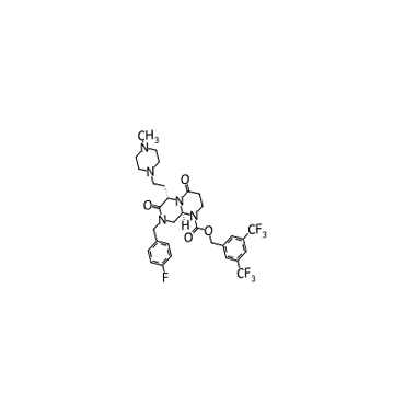 CN1CCN(CC[C@H]2C(=O)N(Cc3ccc(F)cc3)C[C@@H]3N(C(=O)OCc4cc(C(F)(F)F)cc(C(F)(F)F)c4)CCC(=O)N32)CC1